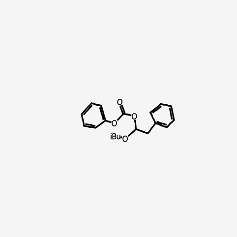 CCC(C)OC(Cc1ccccc1)OC(=O)Oc1ccccc1